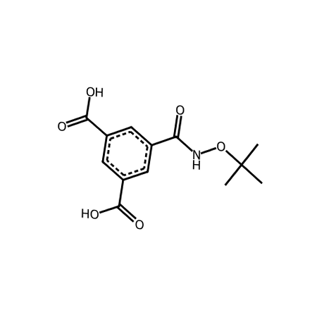 CC(C)(C)ONC(=O)c1cc(C(=O)O)cc(C(=O)O)c1